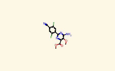 COC(=O)c1nc(-c2cc(F)c(C#N)cc2F)nc(N)c1OC